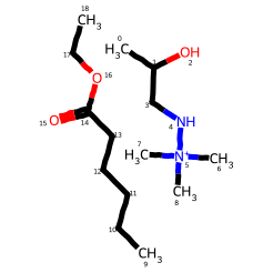 CC(O)CN[N+](C)(C)C.CCCCCC(=O)OCC